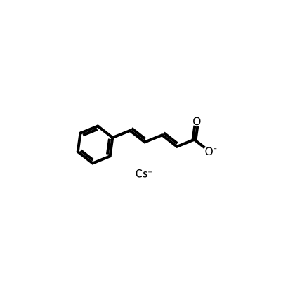 O=C([O-])C=CC=Cc1ccccc1.[Cs+]